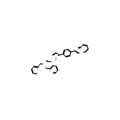 O=C(Cn1ccc(-c2ccc(-c3cn4ccccc4n3)cc2)n1)N(Cc1ccccn1)Cc1ccccn1